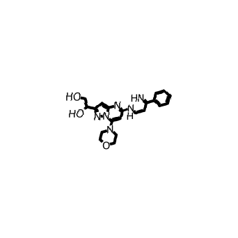 N=C(/C=C\Nc1cc(N2CCOCC2)n2nc(C(O)CO)cc2n1)c1ccccc1